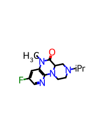 CC(C)N1CCN2c3ncc(F)cc3N(C)C(=O)C2C1